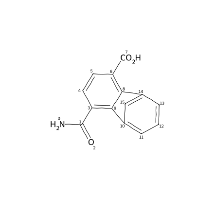 NC(=O)c1ccc(C(=O)O)c2c1-c1cccc-2c1